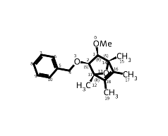 CO[C@@H]1[C@H](OCc2ccccc2)[C@]2(C)O[C@@]1(C)C(C)=C2C